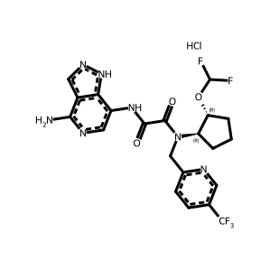 Cl.Nc1ncc(NC(=O)C(=O)N(Cc2ccc(C(F)(F)F)cn2)[C@@H]2CCC[C@H]2OC(F)F)c2[nH]ncc12